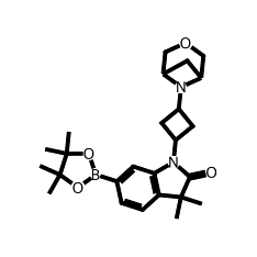 CC1(C)C(=O)N(C2CC(N3C4COCC3C4)C2)c2cc(B3OC(C)(C)C(C)(C)O3)ccc21